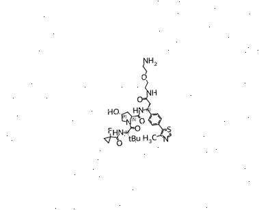 Cc1ncsc1-c1ccc([C@H](CC(=O)NCCOCCN)NC(=O)[C@@H]2C[C@@H](O)CN2C(=O)[C@@H](NC(=O)C2(F)CC2)C(C)(C)C)cc1